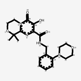 CC1(C)OCCn2c1nc(C(=O)NCc1ccccc1N1CCOCC1)c(O)c2=O